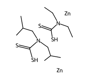 CC(C)CN(CC(C)C)C(=S)S.CCN(CC)C(=S)S.[Zn].[Zn]